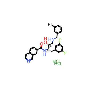 CCc1cccc(CNC[C@@H](O)[C@H](Cc2cc(F)cc(F)c2)NC(=O)c2ccc3ccncc3c2)c1.Cl.Cl